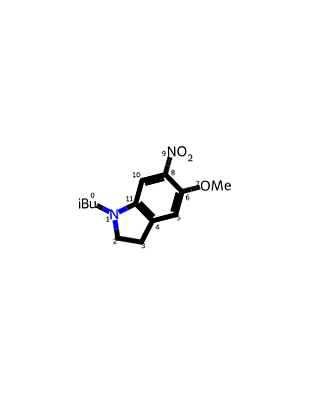 CCC(C)N1CCc2cc(OC)c([N+](=O)[O-])cc21